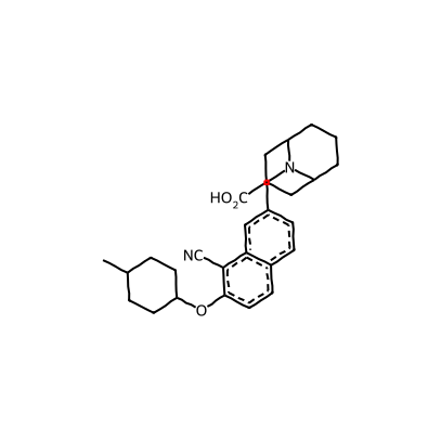 CC1CCC(Oc2ccc3ccc(CN4C5CCCC4CC(C(=O)O)C5)cc3c2C#N)CC1